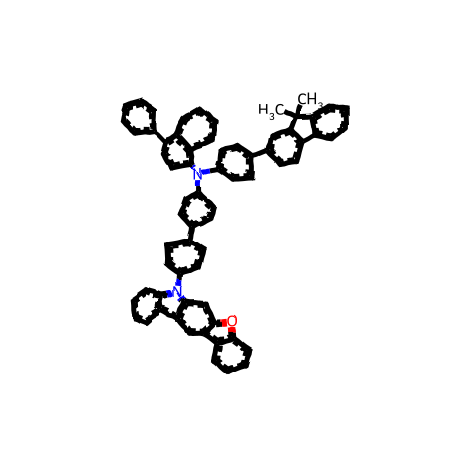 CC1(C)c2ccccc2-c2ccc(-c3ccc(N(c4ccc(-c5ccc(-n6c7ccccc7c7cc8c(cc76)oc6ccccc68)cc5)cc4)c4ccc(-c5ccccc5)c5ccccc45)cc3)cc21